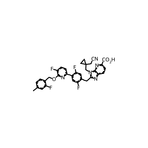 Cc1ccc(COc2nc(-c3cc(F)c(Cc4nc5ccc(C(=O)O)nc5n4CC4(CC#N)CC4)cc3F)ccc2F)c(F)c1